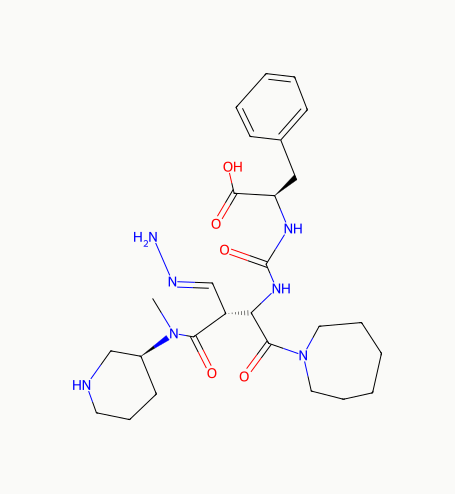 CN(C(=O)[C@H](C=NN)C(NC(=O)N[C@H](Cc1ccccc1)C(=O)O)C(=O)N1CCCCCC1)[C@H]1CCCNC1